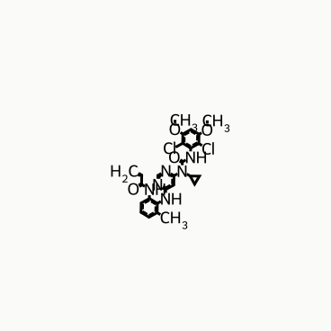 C=CC(=O)Nc1cccc(C)c1Nc1cc(N(C(=O)Nc2c(Cl)c(OC)cc(OC)c2Cl)C2CC2)ncn1